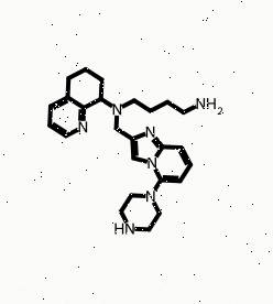 NCCCCN(Cc1cn2c(N3CCNCC3)cccc2n1)C1CCCc2cccnc21